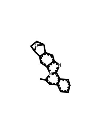 Cc1cc2ccccc2c2nc3cc4c(cc3n12)C1CCC4O1